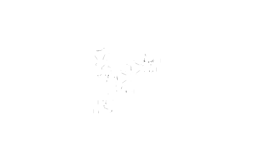 COc1cc(CN(C(=O)c2sc3ccccc3c2Cl)C2CCC(CNC(=O)O)CC2)cc(-c2ccc(C(=O)N(C)C)cc2)c1